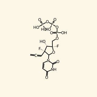 C=C=C[C@]1(F)C(n2ccc(=O)[nH]c2=O)O[C@](F)(COP(=O)(O)OP(=O)(O)OP(=O)(O)O)[C@H]1O